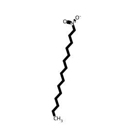 CCCCCCCCCCCCCCC[N+](=O)[O-]